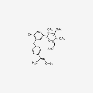 CCON=C(C)c1ccc(Cc2cc([C@@H]3O[C@H](COC(C)=O)[C@@H](OC(C)=O)[C@H](OC(C)=O)[C@H]3OC(C)=O)ccc2Cl)cc1